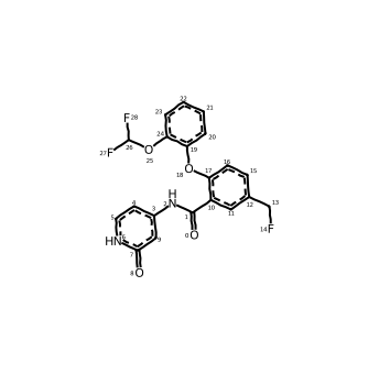 O=C(Nc1cc[nH]c(=O)c1)c1cc(CF)ccc1Oc1ccccc1OC(F)F